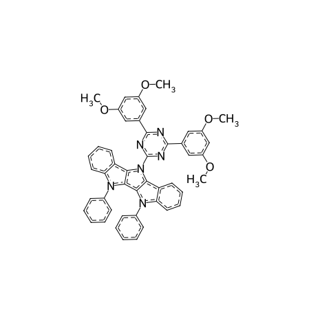 COc1cc(OC)cc(-c2nc(-c3cc(OC)cc(OC)c3)nc(-n3c4c5ccccc5n(-c5ccccc5)c4c4c3c3ccccc3n4-c3ccccc3)n2)c1